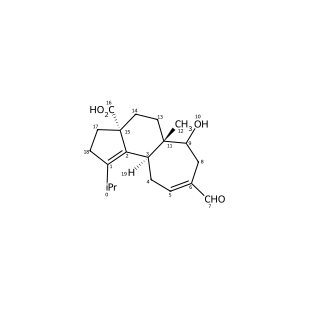 CC(C)C1=C2[C@@H]3CC=C(C=O)CC(O)[C@@]3(C)CC[C@]2(C(=O)O)CC1